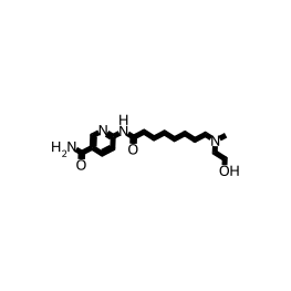 CN(CCO)CCCCCCCC(=O)Nc1ccc(C(N)=O)cn1